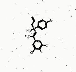 C=CCC(O)(C=C(c1cc(Cl)c(F)c(Cl)c1)C(F)(F)F)c1ccc(Br)cc1